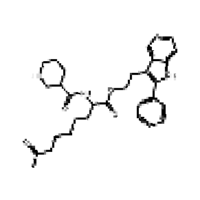 CC(=O)CCCCCC(NC(=O)C1CCCNC1)C(=O)NCCc1c(-c2ccccc2)[nH]c2ccccc12